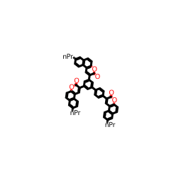 CCCc1ccc2c(ccc3oc(=O)c(-c4ccc(-c5cc(-c6cc7c(ccc8cc(CCC)ccc87)oc6=O)cc(-c6cc7c(ccc8cc(CCC)ccc87)oc6=O)c5)cc4)cc32)c1